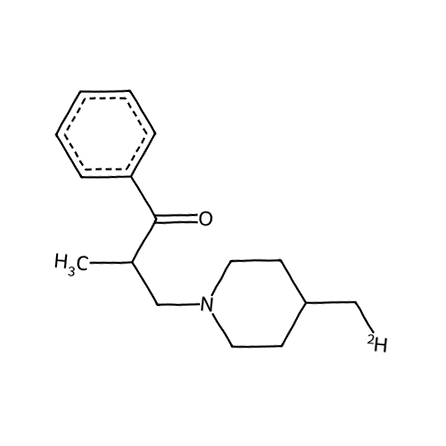 [2H]CC1CCN(CC(C)C(=O)c2ccccc2)CC1